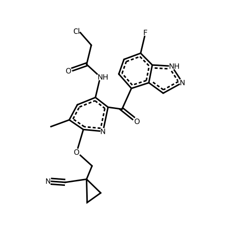 Cc1cc(NC(=O)CCl)c(C(=O)c2ccc(F)c3[nH]ncc23)nc1OCC1(C#N)CC1